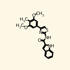 COc1cc(-c2csc(NC(=O)c3cc4ccccc4[nH]3)n2)cc(OC)c1C